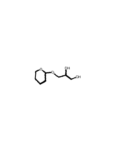 OCC(O)COC1CCCCO1